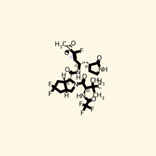 CC(C)(C)[C@@H](NC(=O)C(F)(F)F)C(=O)N1C[C@@H]2CC(F)(F)C[C@@H]2[C@@H]1C(=O)N[C@H](/C=C(\F)S(C)(=O)=O)C[C@H]1CCNC1=O